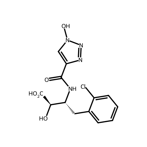 O=C(N[C@H](Cc1ccccc1Cl)[C@@H](O)C(=O)O)c1cn(O)nn1